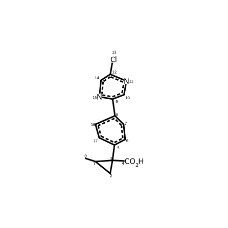 CC1CC1(C(=O)O)c1ccc(-c2cnc(Cl)cn2)cc1